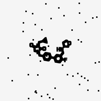 O=C1CN(Cc2ccc(-c3ccc(F)c(CN[C@@H]4CCOC4)c3)cc2)C(=O)N1CC1CC1